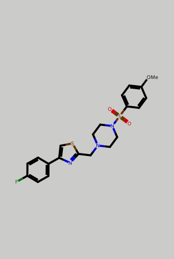 COc1ccc(S(=O)(=O)N2CCN(Cc3nc(-c4ccc(F)cc4)cs3)CC2)cc1